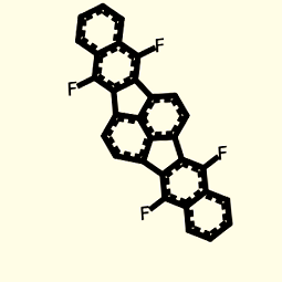 Fc1c2c(c(F)c3ccccc13)-c1ccc3c4c(ccc-2c14)-c1c-3c(F)c2ccccc2c1F